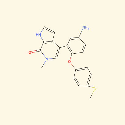 CSc1ccc(Oc2ccc(N)cc2-c2cn(C)c(=O)c3[nH]ccc23)cc1